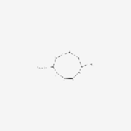 CNC1CCCCC(C)CCCC1